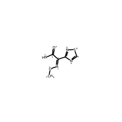 CON=C(C([NH])=O)c1ncsn1